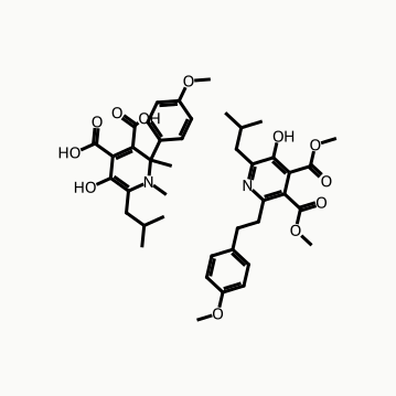 COC(=O)c1c(CCc2ccc(OC)cc2)nc(CC(C)C)c(O)c1C(=O)OC.COc1ccc(C2(C)C(C(=O)O)=C(C(=O)O)C(O)=C(CC(C)C)N2C)cc1